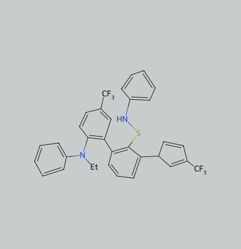 CCN(c1ccccc1)c1ccc(C(F)(F)F)cc1-c1cccc(C2C=CC(C(F)(F)F)=C2)c1SNc1ccccc1